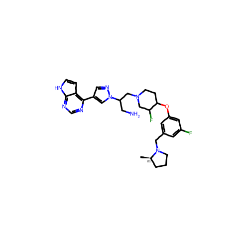 C[C@@H]1CCCN1Cc1cc(F)cc(OC2CCN(CC(CN)n3cc(-c4ncnc5[nH]ccc45)cn3)CC2F)c1